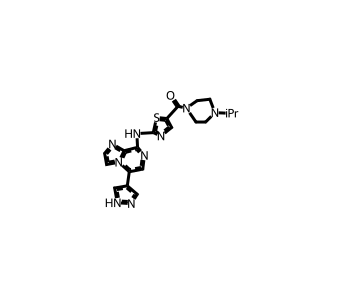 CC(C)N1CCN(C(=O)c2cnc(Nc3ncc(-c4cn[nH]c4)n4ccnc34)s2)CC1